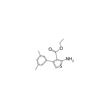 CCOC(=O)c1c(-c2cc(C)cc(C)c2)csc1N